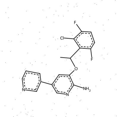 CC(Oc1cc(-c2cccnc2)cnc1N)c1c(F)ccc(F)c1Cl